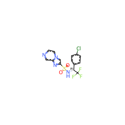 O=S(=O)(N[C@H](c1ccc(Cl)cc1)C(F)(F)F)c1cn2ccncc2n1